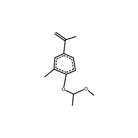 C=C(C)c1ccc(OC(C)OC)c(C)c1